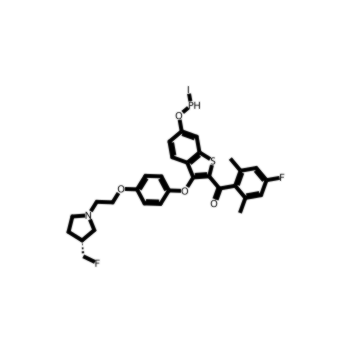 Cc1cc(F)cc(C)c1C(=O)c1sc2cc(OPI)ccc2c1Oc1ccc(OCCN2CC[C@@H](CF)C2)cc1